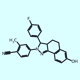 Cc1cc(N2N=C3c4ccc(O)cc4CCC3C2c2ccc(F)cc2)ccc1C#N